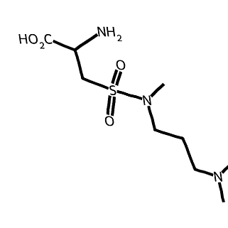 CN(C)CCCN(C)S(=O)(=O)CC(N)C(=O)O